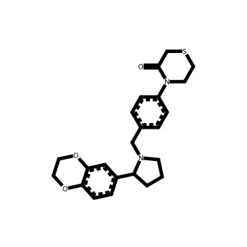 O=C1CSCCN1c1ccc(CN2CCCC2c2ccc3c(c2)OCCO3)cc1